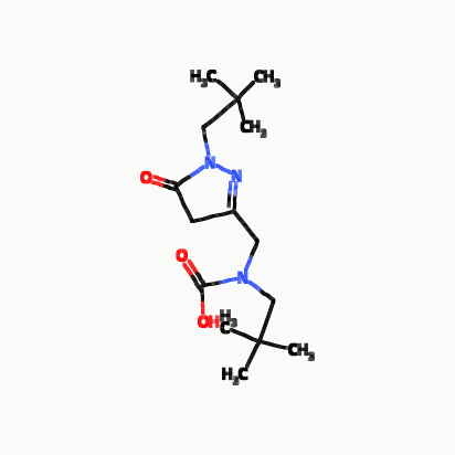 CC(C)(C)CN(CC1=NN(CC(C)(C)C)C(=O)C1)C(=O)O